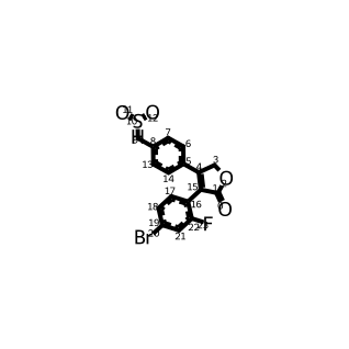 O=C1OCC(c2ccc(C[SH](=O)=O)cc2)=C1c1ccc(Br)cc1F